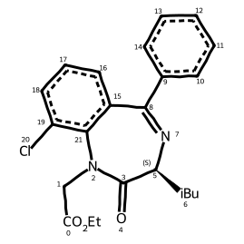 CCOC(=O)CN1C(=O)[C@H](C(C)CC)N=C(c2ccccc2)c2cccc(Cl)c21